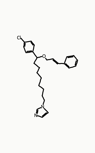 Clc1ccc(C(CCCCCCCCn2ccnc2)OC/C=C/c2ccccc2)cc1